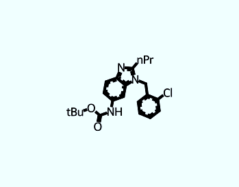 CCCc1nc2ccc(NC(=O)OC(C)(C)C)cc2n1Cc1ccccc1Cl